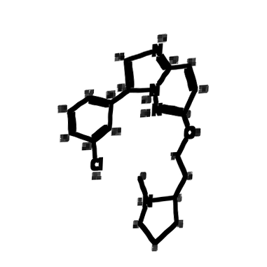 CN1CCCC1CCOc1ccc2ncc(-c3cccc(Cl)c3)n2n1